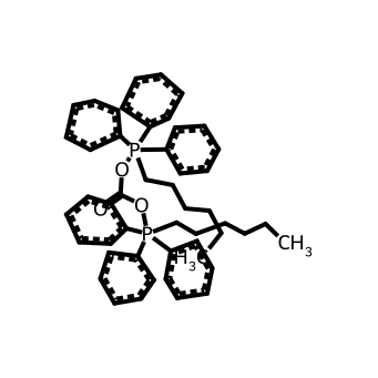 CCCCCCP(OC(=O)OP(CCCCCC)(c1ccccc1)(c1ccccc1)c1ccccc1)(c1ccccc1)(c1ccccc1)c1ccccc1